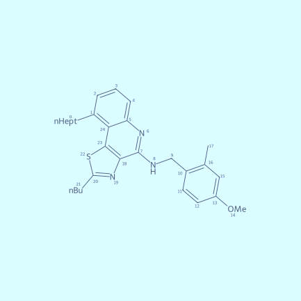 CCCCCCCc1cccc2nc(NCc3ccc(OC)cc3C)c3nc(CCCC)sc3c12